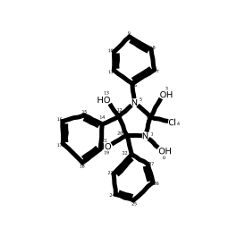 ON1C(O)(Cl)N(c2ccccc2)C(O)(c2ccccc2)C1(O)c1ccccc1